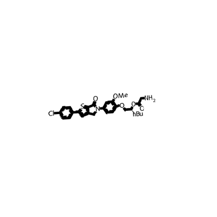 CCCC[C@H](COc1ccc(N2Cc3cc(-c4ccc(Cl)cc4)sc3C2=O)cc1OC)OC(=O)CN